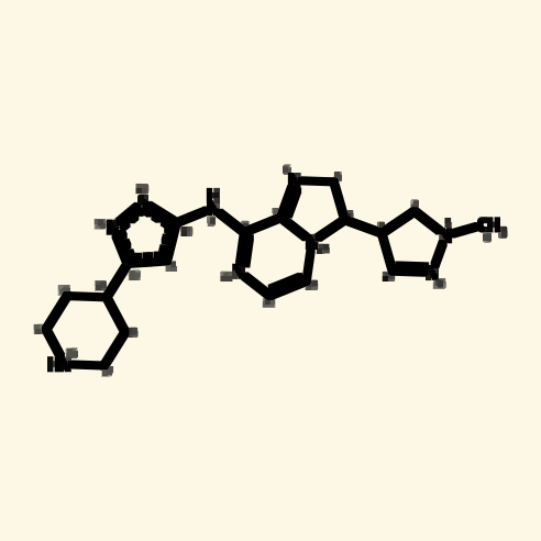 CN1CC(C2CN=C3C(Nc4cc(C5CCNCC5)ns4)=NC=CN32)C=N1